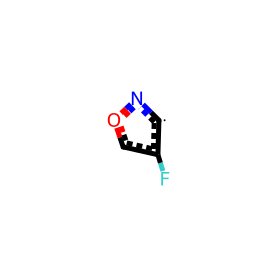 Fc1[c]noc1